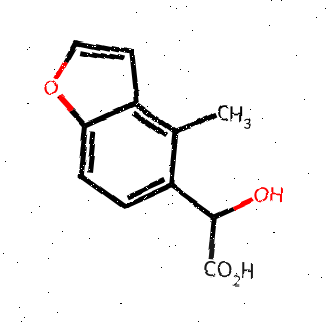 Cc1c(C(O)C(=O)O)ccc2occc12